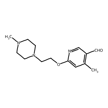 Cc1cc(OCCN2CCN(C)CC2)ncc1C=O